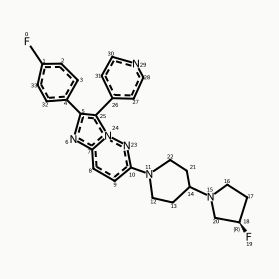 Fc1ccc(-c2nc3ccc(N4CCC(N5CC[C@@H](F)C5)CC4)nn3c2-c2ccncc2)cc1